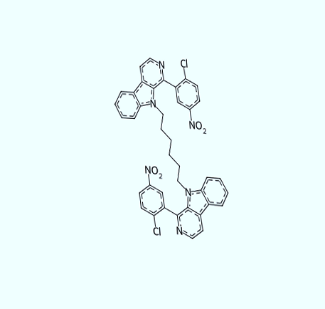 O=[N+]([O-])c1ccc(Cl)c(-c2nccc3c4ccccc4n(CCCCCCn4c5ccccc5c5ccnc(-c6cc([N+](=O)[O-])ccc6Cl)c54)c23)c1